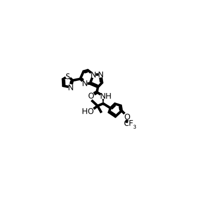 CC(C)(O)[C@@H](NC(=O)c1cnn2ccc(-c3nccs3)nc12)c1ccc(OC(F)(F)F)cc1